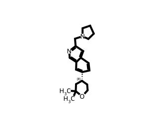 CC1(C)C[C@H](c2ccc3cc(CN4CCCC4)ncc3c2)CCO1